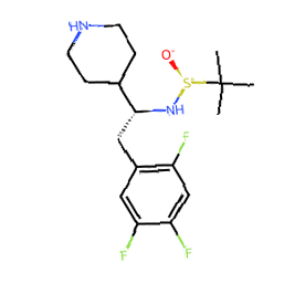 CC(C)(C)[S@+]([O-])N[C@H](Cc1cc(F)c(F)cc1F)C1CCNCC1